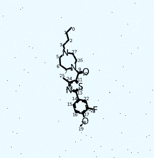 CCCCN1CCCN(C(=O)c2sc(-c3ccc(OC)c(F)c3)nc2C)CC1